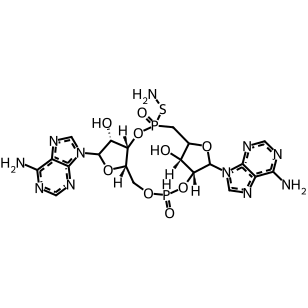 NSP1(=O)CC2OC(n3cnc4c(N)ncnc43)[C@H](O[PH](=O)OC[C@@H]3OC(n4cnc5c(N)ncnc54)[C@H](O)[C@@H]3O1)[C@@H]2O